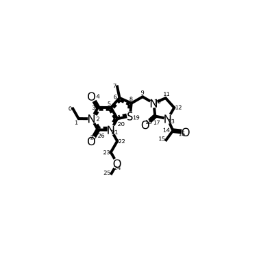 CCn1c(=O)c2c(C)c(CN3CCN(C(C)=O)C3=O)sc2n(CCOC)c1=O